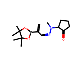 C=C(/C=N\N(C)C1CCCC1=O)B1OC(C)(C)C(C)(C)O1